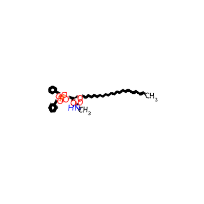 CCCCCCCCCCCCCCCCCCCCCCOC[C@H](COP(=O)(OCc1ccccc1)OCc1ccccc1)OC(=O)NC